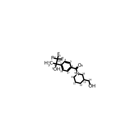 CC(O)(c1ccc(C(=O)N2CCCC(CO)C2)cc1)C(F)(F)F